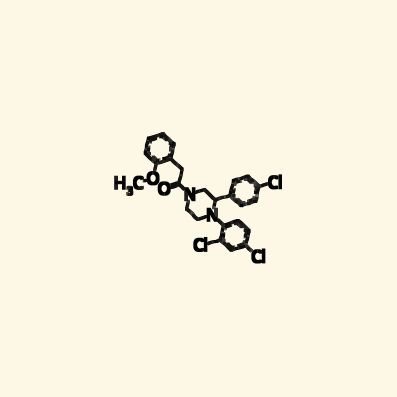 COc1ccccc1CC(=O)N1CCN(c2ccc(Cl)cc2Cl)C(c2ccc(Cl)cc2)C1